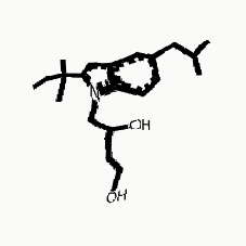 CC(C)Cc1ccc2c(c1)cc(C(C)(C)C)n2CC(O)CCO